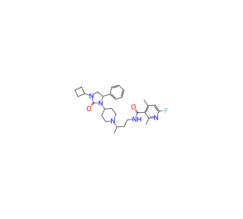 Cc1cc(F)nc(C)c1C(=O)NCCC(C)N1CCC(N2C(=O)N(C3CCC3)CC2c2ccccc2)CC1